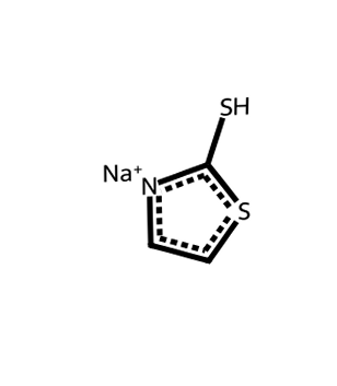 Sc1nccs1.[Na+]